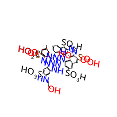 Cc1ccc(N=Nc2cc(S(=O)(=O)O)c(NCCO)cc2Nc2nc(Nc3cc(S(=O)(=O)O)cc4cc(SOOO)c(/N=N\c5ccc6ccccc6c5S(=O)(=O)O)c(O)c34)nc(-[n+]3cccc(C(=O)O)c3)n2)c(SOOO)c1